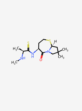 CN[C@@H](C)C(=S)N[C@H]1CCS[C@H]2CC(C)(C)CN2C1=O